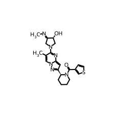 C/N=C1\CN(c2nc3cc([C@@H]4CCCCN4C(=O)c4ccsc4)nn3cc2C)C[C@@H]1O